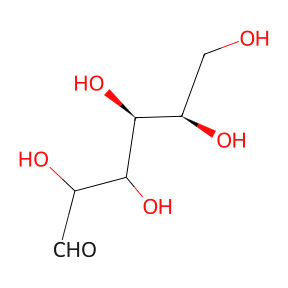 O=CC(O)C(O)[C@@H](O)[C@H](O)CO